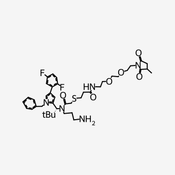 CC1CC(=O)N(CCOCCOCCNC(=O)CCSCC(=O)N(CCCN)[C@@H](c2cc(-c3cc(F)ccc3F)cn2Cc2ccccc2)C(C)(C)C)C1=O